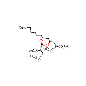 CCCCCCCCCCCCCCCCCC(CC(C(=O)O)C(=O)O)OC(=O)C(CC(=O)O)S(=O)(=O)O